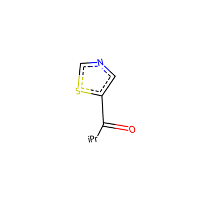 CC(C)C(=O)c1cncs1